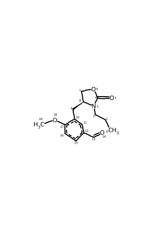 CCCN1C(=O)OC[C@@H]1Cc1cc(C=O)ccc1OC